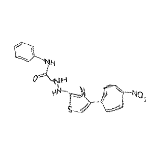 O=C(NNc1nc(-c2ccc([N+](=O)[O-])cc2)cs1)Nc1ccccc1